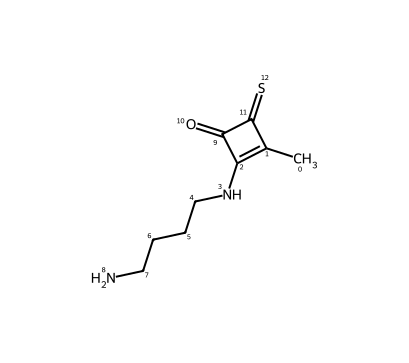 Cc1c(NCCCCN)c(=O)c1=S